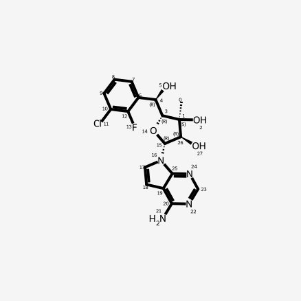 C[C@@]1(O)[C@@H]([C@H](O)c2cccc(Cl)c2F)O[C@@H](n2ccc3c(N)ncnc32)[C@@H]1O